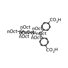 CCCCCCCC[N+](CCCCCCCC)(CCCCCCCC)CCCCCCCC.CCCCCCCC[N+](CCCCCCCC)(CCCCCCCC)CCCCCCCC.O=C(O)c1ccc(Sc2ccc(C(=O)O)cc2)cc1